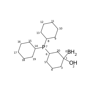 BC1(O)CCCC(P(C2CCCCC2)C2CCCCC2)C1